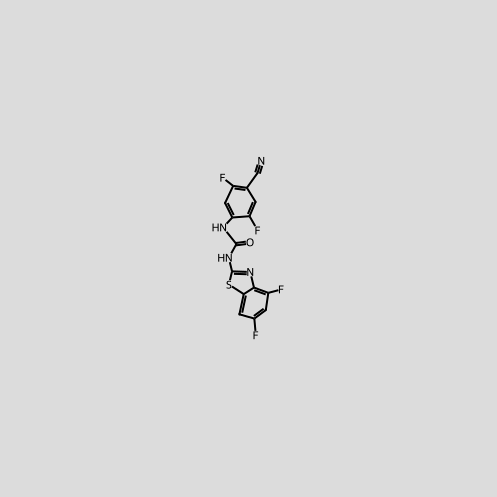 N#Cc1cc(F)c(NC(=O)Nc2nc3c(F)cc(F)cc3s2)cc1F